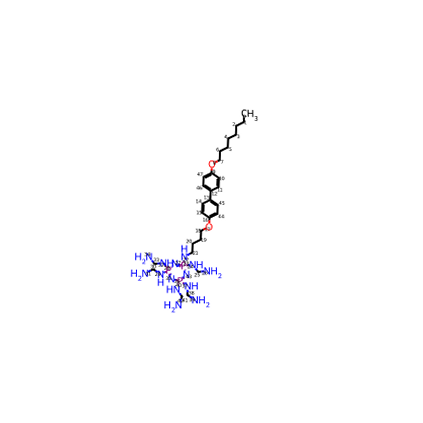 CCCCCCCCOc1ccc(-c2ccc(OCCCCNP3(NCN)=NP(NCN)(NCN)=NP(NCN)(NCN)=N3)cc2)cc1